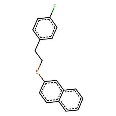 Fc1ccc(CCSc2ccc3ccccc3c2)cc1